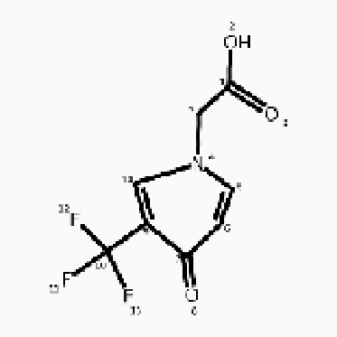 O=C(O)Cn1ccc(=O)c(C(F)(F)F)c1